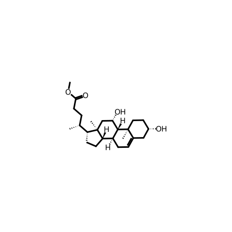 COC(=O)CC[C@@H](C)[C@H]1CC[C@H]2[C@@H]3CC=C4C[C@@H](O)CC[C@]4(C)[C@H]3[C@@H](O)C[C@]12C